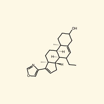 CCC1C=C2CC(O)CC[C@]2(C)[C@@H]2CC[C@]3(C)C(c4cocn4)=CC[C@H]3[C@H]12